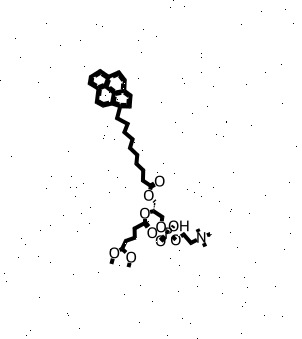 COC(CCCC(=O)O[C@H](COC(=O)CCCCCCCCCc1ccc2ccc3cccc4ccc1c2c34)COP(=O)(O)OCC[N+](C)(C)C)OC